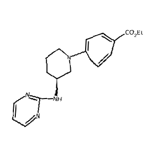 CCOC(=O)c1ccc(N2CCC[C@H](Nc3ncccn3)C2)cc1